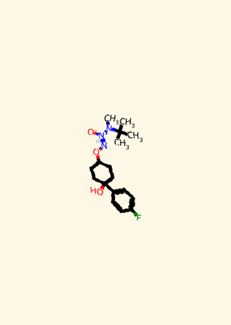 CN(/[N+]([O-])=N/OC1CCC(O)(c2ccc(F)cc2)CC1)C(C)(C)C